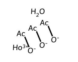 CC(=O)[O-].CC(=O)[O-].CC(=O)[O-].O.[Ho+3]